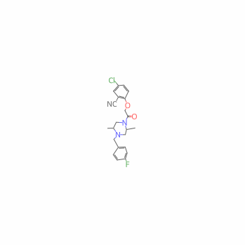 CC1CN(C(=O)COc2ccc(Cl)cc2C#N)C(C)CN1Cc1ccc(F)cc1